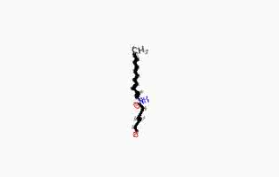 CCCCCCCCCC/C=C/NC(=O)CCCCC=O